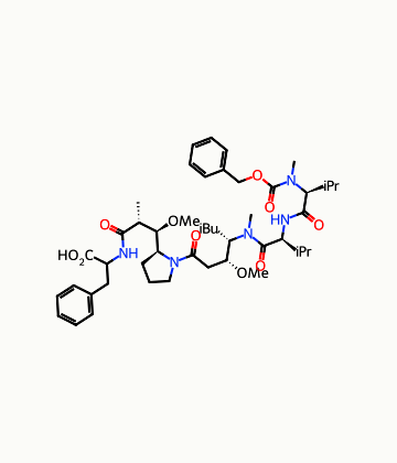 CCC(C)[C@@H]([C@@H](CC(=O)N1CCC[C@H]1[C@H](OC)[C@@H](C)C(=O)NC(Cc1ccccc1)C(=O)O)OC)N(C)C(=O)[C@@H](NC(=O)[C@H](C(C)C)N(C)C(=O)OCc1ccccc1)C(C)C